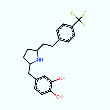 Oc1ccc(CC2CCC(CCc3ccc(C(F)(F)F)cc3)N2)cc1O